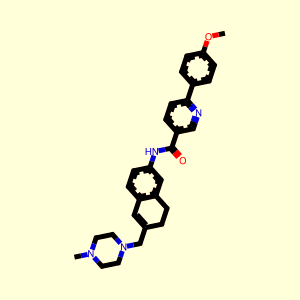 COc1ccc(-c2ccc(C(=O)Nc3ccc4c(c3)CCC(CN3CCN(C)CC3)=C4)cn2)cc1